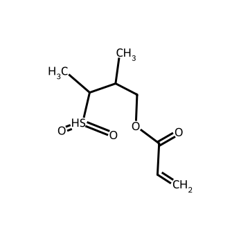 C=CC(=O)OCC(C)C(C)[SH](=O)=O